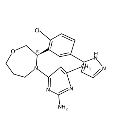 Cc1cc(N2CCCOC[C@H]2c2cc(-c3ccn[nH]3)ccc2Cl)nc(N)n1